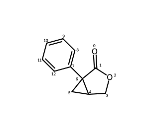 O=C1OCC2CC12c1ccccc1